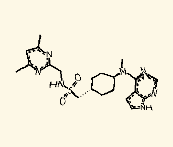 Cc1cc(C)nc(CNS(=O)(=O)C[C@H]2CC[C@H](N(C)c3ncnc4[nH]ccc34)CC2)n1